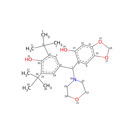 CC(C)(C)c1cc(C(c2cc3c(cc2O)OCO3)N2CCOCC2)cc(C(C)(C)C)c1O